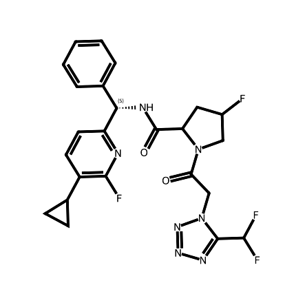 O=C(N[C@@H](c1ccccc1)c1ccc(C2CC2)c(F)n1)C1CC(F)CN1C(=O)Cn1nnnc1C(F)F